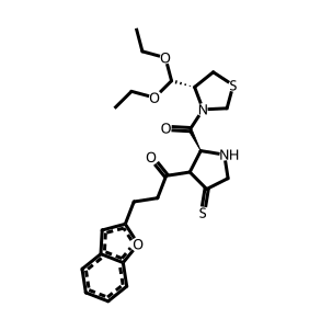 CCOC(OCC)[C@@H]1CSCN1C(=O)[C@H]1NCC(=S)C1C(=O)CCc1cc2ccccc2o1